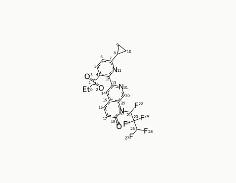 CCS(=O)(=O)c1ccc(C2CC2)nc1-c1cc2ccc(=O)n(C(F)C(F)(F)C(F)F)c2cn1